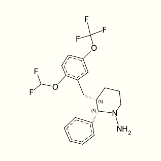 NN1CCC[C@@H](Cc2cc(OC(F)(F)F)ccc2OC(F)F)[C@H]1c1ccccc1